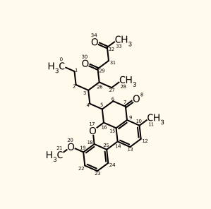 CCCC(CC1CC(=O)c2c(C)ccc3c2C1Oc1c(OC)cccc1-3)C(CC)C(=O)CC(C)=O